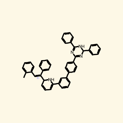 Cc1ccccc1/C=C(\c1ccccc1)C1C=CC=C(c2cccc(-c3ccc(C4=NC(c5ccccc5)NC(c5ccccc5)=N4)cc3)c2)N1